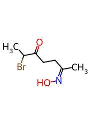 CC(CCC(=O)C(C)Br)=NO